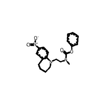 CN(CCN1CCCCc2cc([N+](=O)[O-])ccc21)C(=O)Oc1ccccc1